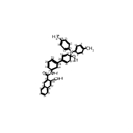 CCOC1(N(c2ccc(C)cc2)c2ccc(C)cc2)C=CC(c2cccc(NC(=O)c3cc4ccccc4cc3O)c2)=CC1